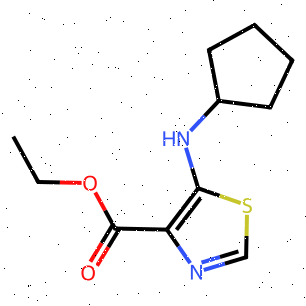 CCOC(=O)c1ncsc1NC1CCCC1